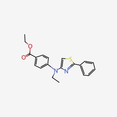 CCOC(=O)c1ccc(N(CC)c2csc(-c3ccccc3)n2)cc1